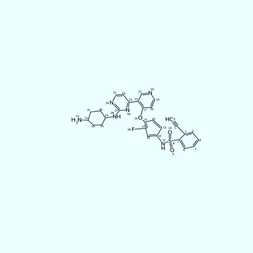 C#Cc1ccccc1S(=O)(=O)Nc1ccc(Oc2ccncc2-c2ccnc(NC3CCC(N)CC3)n2)c(F)c1